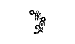 C#CCc1c(C)nc2c(NCc3c(C)cccc3NC(=S)NC(=O)c3ccccc3)cccn12